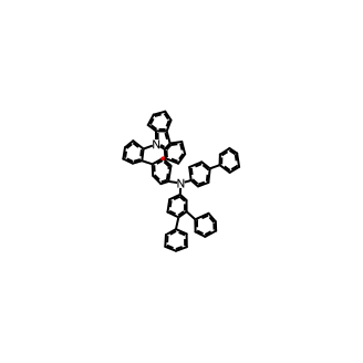 c1ccc(-c2ccc(N(c3ccc(-c4ccccc4-n4c5ccccc5c5ccccc54)cc3)c3ccc(-c4ccccc4)c(-c4ccccc4)c3)cc2)cc1